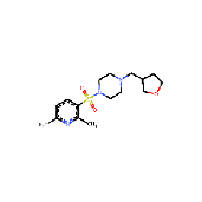 Cc1nc(C(F)(F)F)ccc1S(=O)(=O)N1CCN(CC2CCOC2)CC1